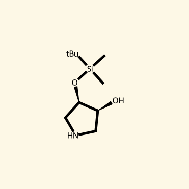 CC(C)(C)[Si](C)(C)O[C@@H]1CNC[C@@H]1O